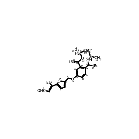 CCC(=CC=O)c1ccc(COc2ccc(C(O[SiH](C)C)C(C)(C)C)c(C(O[SiH](C)C)C(C)(C)C)c2)s1